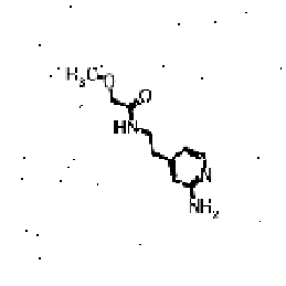 COCC(=O)NCCc1ccnc(N)c1